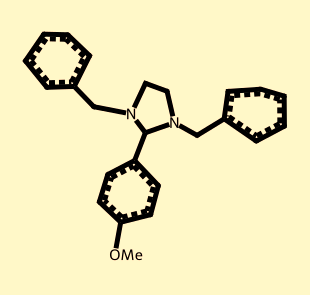 COc1ccc(C2N(Cc3ccccc3)CCN2Cc2ccccc2)cc1